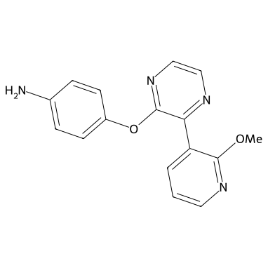 COc1ncccc1-c1nccnc1Oc1ccc(N)cc1